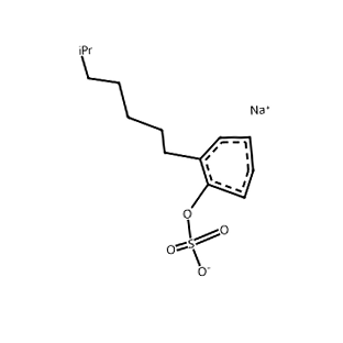 CC(C)CCCCCc1ccccc1OS(=O)(=O)[O-].[Na+]